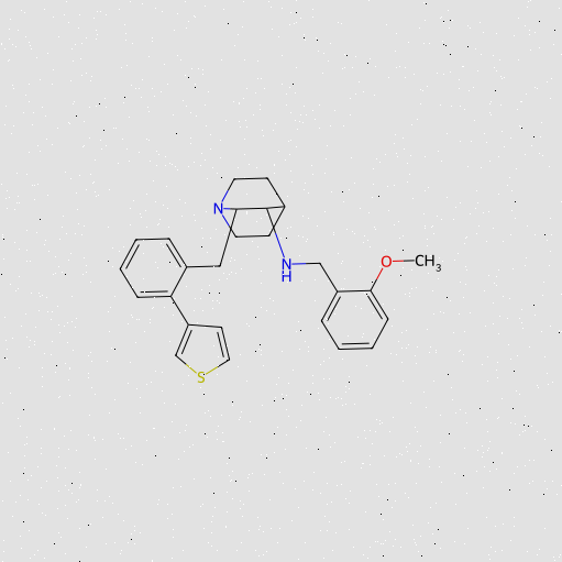 COc1ccccc1CNC1C2CCN(CC2)C1Cc1ccccc1-c1ccsc1